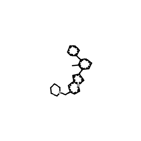 Cc1c(-c2ccccc2)cccc1-c1cc2cc(CN3CCCCC3)ccn2c1